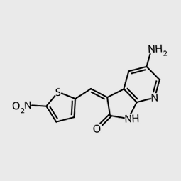 Nc1cnc2c(c1)C(=Cc1ccc([N+](=O)[O-])s1)C(=O)N2